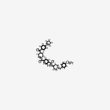 CC(C)Oc1ccc(CN2CCC(NC(=O)c3ccc(C(=O)N4CCC(C(=O)c5ccc(N6CCCC6)cc5)CC4)nc3)CC2)cc1